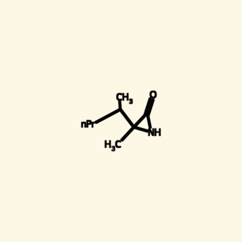 CCCC(C)C1(C)NC1=O